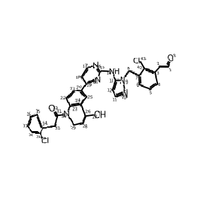 O=CCc1cccc(Cn2nccc2Nc2nccc(-c3ccc4c(c3)C(O)CCN4C(=O)Cc3ccccc3Cl)n2)c1Cl